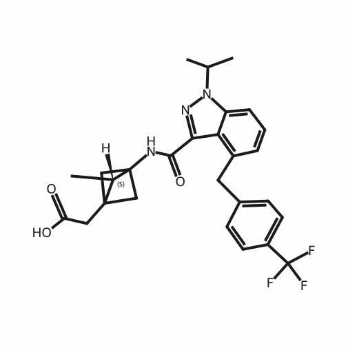 CC(C)n1nc(C(=O)NC23CC(CC(=O)O)(C2)[C@@H]3C)c2c(Cc3ccc(C(F)(F)F)cc3)cccc21